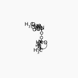 COC(=O)N[C@@H](C(=O)N1CCC[C@H]1c1ncc(-c2ccc(-c3ccc(-c4nc5[nH]c4COCCCCCC[C@H](C)C(=O)N4CC6(CC6)C[C@@H]54)cc3)cc2)[nH]1)c1ccccc1